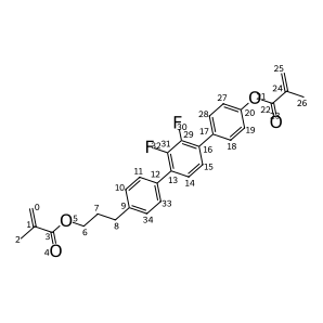 C=C(C)C(=O)OCCCc1ccc(-c2ccc(-c3ccc(OC(=O)C(=C)C)cc3)c(F)c2F)cc1